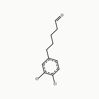 O=[C]CCCCc1ccc(Cl)c(Cl)c1